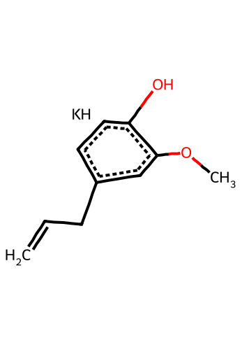 C=CCc1ccc(O)c(OC)c1.[KH]